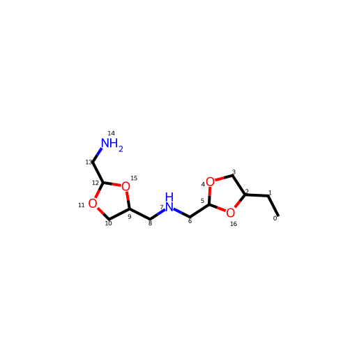 CCC1COC(CNCC2COC(CN)O2)O1